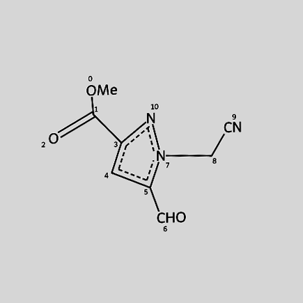 COC(=O)c1cc(C=O)n(CC#N)n1